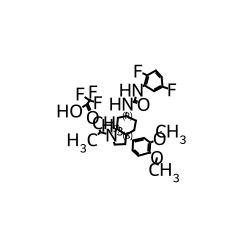 COc1ccc([C@@]23CC[C@@H](NC(=O)Nc4cc(F)ccc4F)C[C@@H]2N(C(C)C)CC3)cc1OC.O=C(O)C(F)(F)F